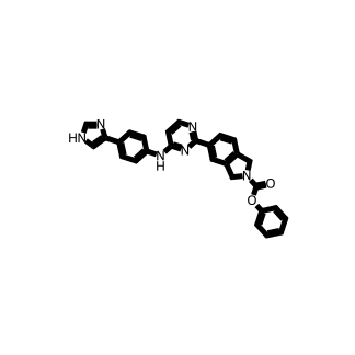 O=C(Oc1ccccc1)N1Cc2ccc(-c3nccc(Nc4ccc(-c5c[nH]cn5)cc4)n3)cc2C1